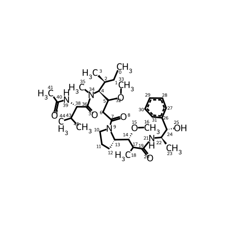 CC[C@H](C)[C@@H](C(CC(=O)N1CCC[C@H]1[C@H](OC)C(C)C(=O)N[C@H](C)[C@@H](O)c1ccccc1)OC)N(C)C(=O)[C@@H](NC(C)=O)C(C)C